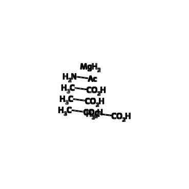 CC(=O)O.CC(=O)O.CC(=O)O.CC(=O)O.CC(N)=O.[MgH2]